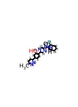 Cc1ccc(-c2ccc(-c3cnc(N(C)[C@H]4C[C@@H]5CCCC(N5)[C@H]4F)cn3)c(O)c2)nn1